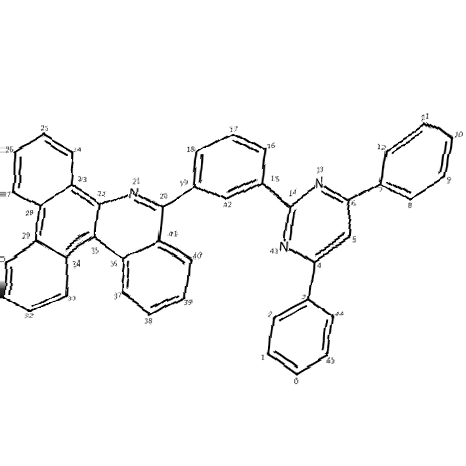 c1ccc(-c2cc(-c3ccccc3)nc(-c3cccc(-c4nc5c6ccccc6c6ccccc6c5c5ccccc45)c3)n2)cc1